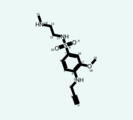 C#CCNc1ccc(S(=O)(=O)NCCNC)cc1OC